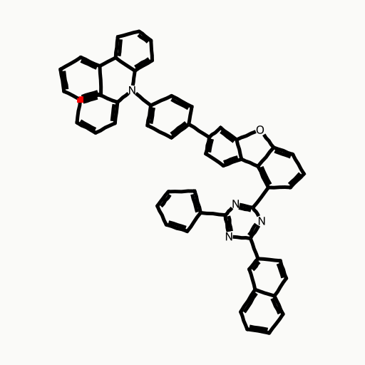 c1ccc(-c2nc(-c3ccc4ccccc4c3)nc(-c3cccc4oc5cc(-c6ccc(N(c7ccccc7)c7ccccc7-c7ccccc7)cc6)ccc5c34)n2)cc1